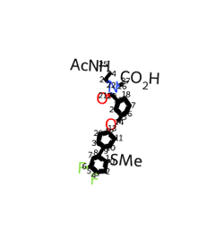 CSc1cc(F)c(F)cc1-c1ccc(OCc2cccc(C(=O)N(CCNC(C)=O)CC(=O)O)c2)cc1